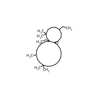 CCC1CCCC(C)(C)CC2(CC)CCCCC(C)CCC(C)(C)CCCCCCCCC2(F)CCC1